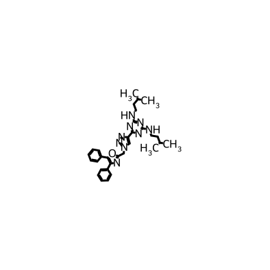 CC(C)CCNc1nc(NCCC(C)C)nc(-c2cn(Cc3nc(-c4ccccc4)c(-c4ccccc4)o3)nn2)n1